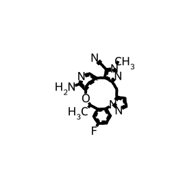 CC1Oc2cc(cnc2N)-c2c(nn(C)c2C#N)Cc2ccnn2-c2ccc(F)cc21